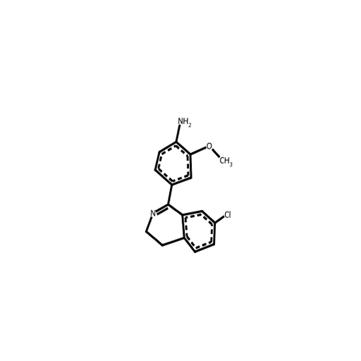 COc1cc(C2=NCCc3ccc(Cl)cc32)ccc1N